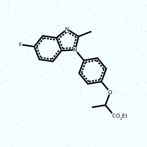 CCOC(=O)C(C)Oc1ccc(-n2c(C)nc3cc(F)ccc32)cc1